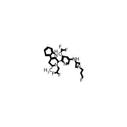 C[C@@H]1Cc2c([nH]c3ccccc23)[C@@H](c2ncc(NC3CN(CCCF)C3)cc2OC(F)F)N1CC(F)F